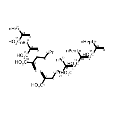 C=C(CC(C)C)C(=O)O.C=C(CCC(C)C)C(=O)O.C=C(CCC)C(=O)O.C=C(CCCC)C(=O)O.C=C(CCCCC)C(=O)O.C=C(CCCCCC)C(=O)O.C=C(CCCCCCC)C(=O)O